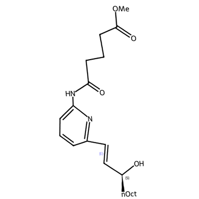 CCCCCCCC[C@H](O)/C=C/c1cccc(NC(=O)CCCC(=O)OC)n1